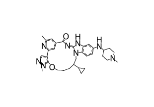 Cc1cc2cc(n1)-c1cnn(C)c1OCCCC(C1CC1)CN1/C(=N/C2=O)Nc2cc(NC3CCN(C)CC3)ccc21